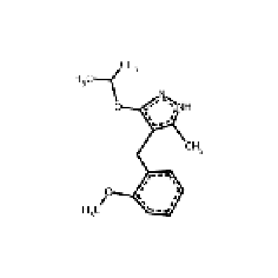 COc1ccccc1Cc1c(OC(C)C)n[nH]c1C